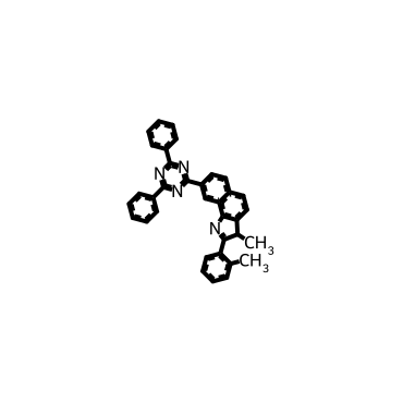 Cc1ccccc1C1=Nc2c(ccc3ccc(-c4nc(-c5ccccc5)nc(-c5ccccc5)n4)cc23)C1C